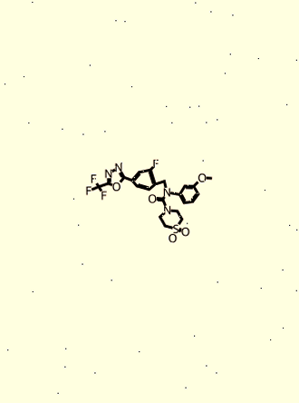 COc1cccc(N(Cc2ccc(-c3nnc(C(F)(F)F)o3)cc2F)C(=O)N2CCS(=O)(=O)CC2)c1